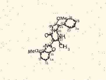 COc1nn2c(=O)c(-c3nc4c(OC)cccc4o3)c(C)[nH]c2c1-c1ccccc1